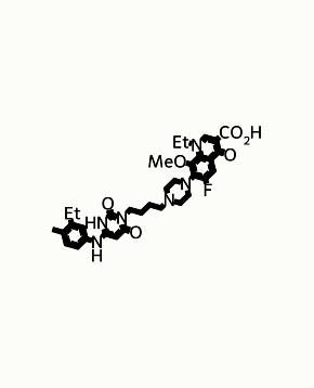 CCc1cc(Nc2cc(=O)n(CCCCN3CCN(c4c(F)cc5c(=O)c(C(=O)O)cn(CC)c5c4OC)CC3)c(=O)[nH]2)ccc1C